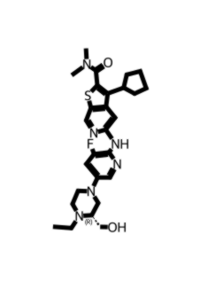 CCN1CCN(c2cnc(Nc3cc4c(C5CCCC5)c(C(=O)N(C)C)sc4cn3)c(F)c2)C[C@@H]1CO